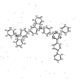 c1ccc(-c2ccc(-c3nc(-c4ccccc4)nc(-c4ccc(-n5c6ccccc6c6cc(-c7ccc8c(c7)c7ccccc7n8-c7ccccc7)ccc65)cc4)n3)cc2)cc1